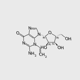 C=Cn1c(N)nc(=O)c2ncn([C@@H]3O[C@H](CO)[C@@H](O)[C@H]3O)c21